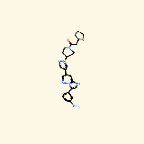 Nc1cccc(-c2cnc3cc(-c4cnn(C5CCN(C(=O)CC6CCCO6)CC5)c4)cnn23)c1